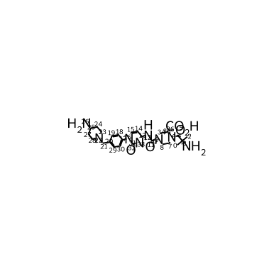 CC(C)(N)C(=O)N1CCN(C(=O)Nc2ccn(-c3ccc(CN4CCC(N)CC4)cc3)c(=O)n2)C[C@H]1C(=O)O